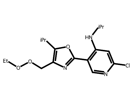 CCOOCc1nc(-c2cnc(Cl)cc2NC(C)C)oc1C(C)C